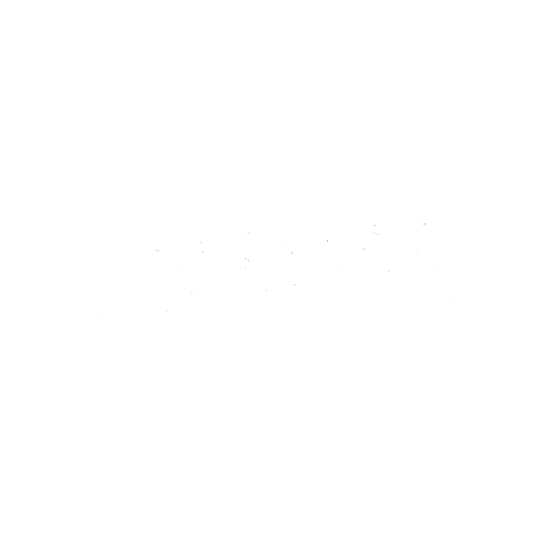 CCOC(=O)c1sc(N2CC[C@@H](NC(=O)c3nc(Cl)c(CC)[nH]3)[C@@H](F)C2)nc1C